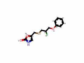 O=c1[nH]cc(CSCC(F)COc2ccccc2)o1